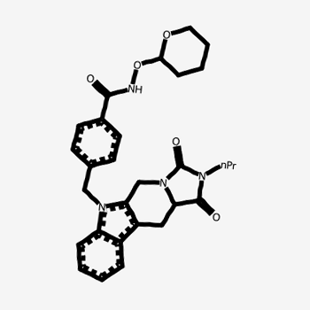 CCCN1C(=O)C2Cc3c(n(Cc4ccc(C(=O)NOC5CCCCO5)cc4)c4ccccc34)CN2C1=O